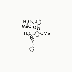 CC=C(C(=O)OC)c1ccccc1COc1cc(/C(C)=N\OCCc2ccccc2)ccc1OC